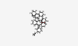 N#Cc1ccc2c3ccccc3n(-c3cccc4c3C(=O)N(c3c(-c5ccccc5)cccc3-c3ccccc3)C4=O)c2c1